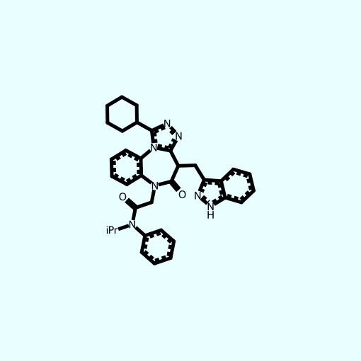 CC(C)N(C(=O)CN1C(=O)C(Cc2n[nH]c3ccccc23)c2nnc(C3CCCCC3)n2-c2ccccc21)c1ccccc1